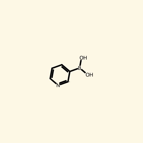 OB(O)c1[c]nccc1